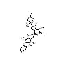 C=C(O)/C(O)=C1/C(=O)N(C2(O)CCC(=O)NC2=O)C/C1=C(/O)NCc1c(O)c(O)c(CN2CCOCC2)c(O)c1O